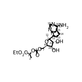 CCOC(=O)[C@H](C)OC(=O)OC[C@H]1O[C@@](C)(c2ccc3c(N)ncnn23)[C@H](O)[C@@H]1O